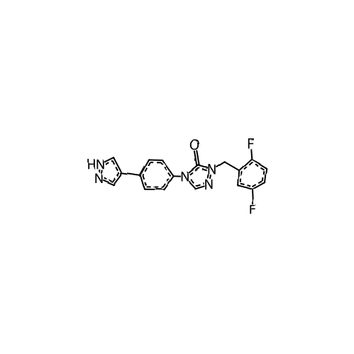 O=c1n(-c2ccc(-c3cn[nH]c3)cc2)cnn1Cc1cc(F)ccc1F